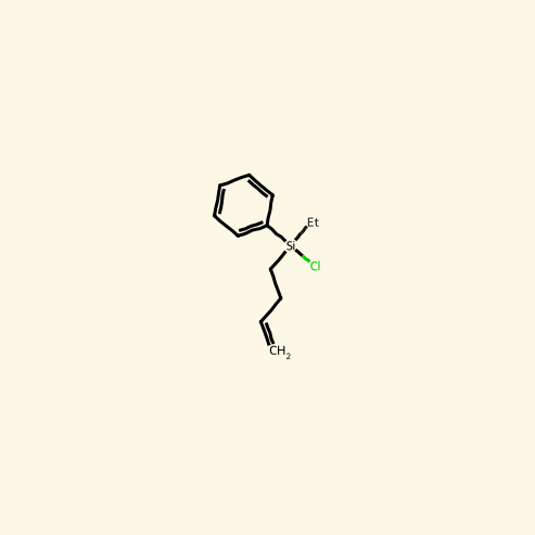 C=CCC[Si](Cl)(CC)c1ccccc1